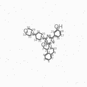 OCC1c2ccccc2CCN1c1nc(-c2cccc(O)c2)nc(N2CCC(N3CCOCC3)CC2)n1